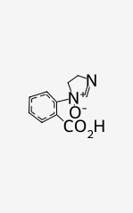 O=C(O)c1ccccc1[N+]1([O-])C=NCC1